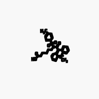 Cc1ccc(S(=O)(=O)N(CCCCCC(=O)O)C(=O)c2c3ccccc3[n+](C)c3ccccc23)cc1